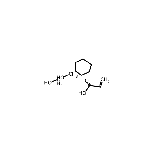 C1CCCCC1.C=CC(=O)O.CO.CO